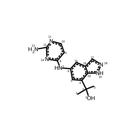 CC(C)(O)c1cc(Nc2ccnc(N)n2)cc2cn[nH]c12